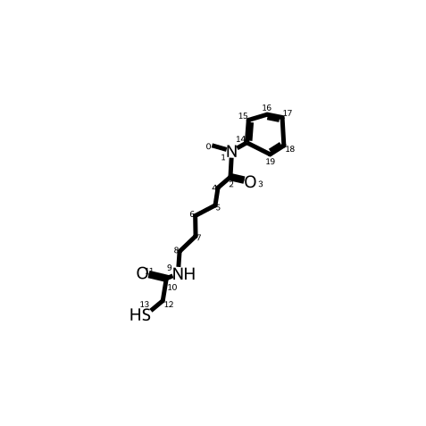 CN(C(=O)CCCCCNC(=O)CS)c1ccccc1